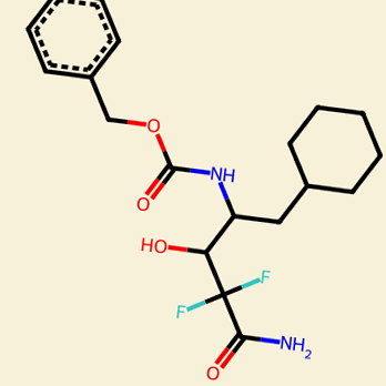 NC(=O)C(F)(F)C(O)C(CC1CCCCC1)NC(=O)OCc1ccccc1